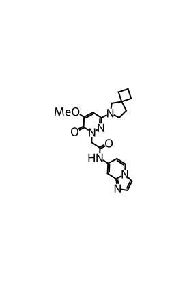 COc1cc(N2CCC3(CCC3)C2)nn(CC(=O)Nc2ccn3ccnc3c2)c1=O